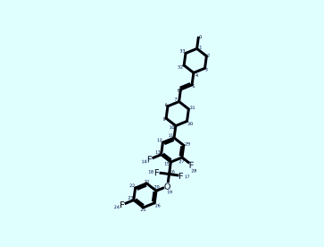 CC1CCC(/C=C/C2CCC(c3cc(F)c(C(F)(F)Oc4ccc(F)cc4)c(F)c3)CC2)CC1